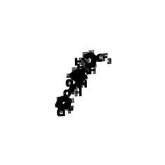 O=C(COc1ccc(Cl)c(F)c1)N[C@@H]1C[C@H](NC2CC(C(F)(F)F)CCN2)C2CC1C2